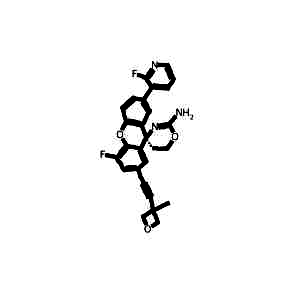 CC1(C#Cc2cc(F)c3c(c2)[C@@]2(CCOC(N)=N2)c2cc(-c4cccnc4F)ccc2O3)COC1